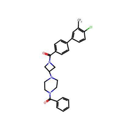 O=C(c1ccccc1)N1CCN(C2CN(C(=O)c3ccc(-c4ccc(Cl)c(C(F)(F)F)c4)cc3)C2)CC1